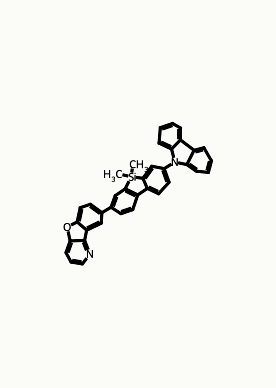 C[Si]1(C)c2cc(-c3ccc4oc5cccnc5c4c3)ccc2-c2ccc(-n3c4ccccc4c4ccccc43)cc21